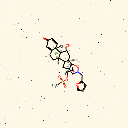 C[C@]12C=CC(=O)C=C1[C@@H](F)C[C@H]1C3C[C@H]4CN(Cc5ccco5)O[C@@]4(C(=O)COS(C)(=O)=O)[C@@]3(C)C[C@H](O)[C@@]12F